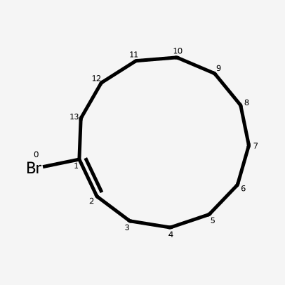 BrC1=CCCCCCCCCCCC1